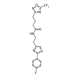 O=C(CCCc1noc(C(F)(F)F)n1)NCCc1coc(-c2ccc(F)cc2)n1